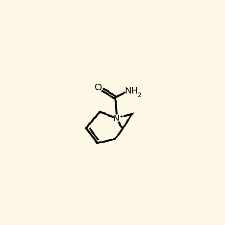 NC(=O)[N+]12CC=CCC1C2